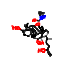 C=C(O)CC[C@@H](C)[C@H]1CC[C@H]2[C@@H]3[C@H](OC(=O)NC(C)C)C[C@@H]4C[C@H](O)CC[C@]4(C)[C@H]3C[C@H](O)[C@]12C